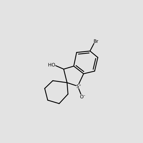 [O-][S+]1c2ccc(Br)cc2C(O)C12CCCCC2